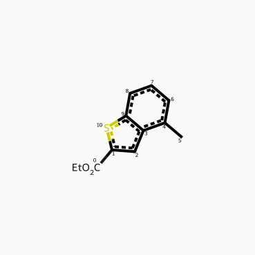 CCOC(=O)c1cc2c(C)cccc2s1